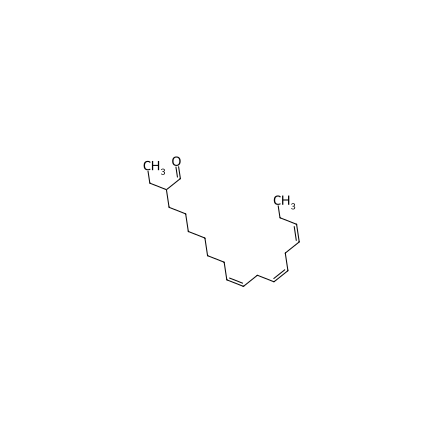 CC/C=C\C/C=C\C/C=C\CCCCCCC(C=O)CC